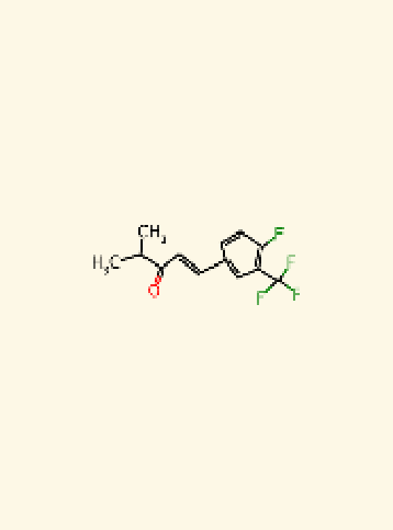 CC(C)C(=O)C=Cc1ccc(F)c(C(F)(F)F)c1